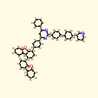 c1ccc(-c2cc(-c3ccc(-c4ccc(-c5cccc6c5oc5ccccc56)c5c4oc4ccccc45)cc3)nc(-c3ccc(-c4ccc(-c5cccnc5)cc4)cc3)n2)cc1